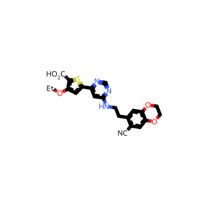 CCOc1cc(-c2cc(NCCc3cc4c(cc3C#N)OCCO4)ncn2)sc1C(=O)O